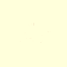 C.C.C=CC(=O)O.C=CC(=O)O